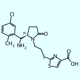 Cc1ccc(Cl)cc1C(N)[C@H]1CCC(=O)N1CCSc1nc(C(=O)O)cs1